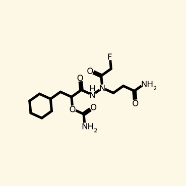 NC(=O)CCN(NC(=O)C(CC1CCCCC1)OC(N)=O)C(=O)CF